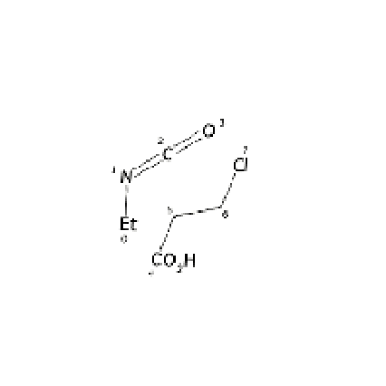 CCN=C=O.O=C(O)CCCl